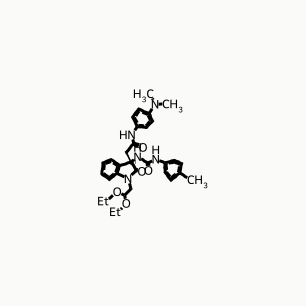 CCOC(CN1C(=O)[C@@](CC(=O)Nc2ccc(N(C)C)cc2)(NC(=O)Nc2ccc(C)cc2)c2ccccc21)OCC